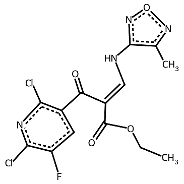 CCOC(=O)/C(=C/Nc1nonc1C)C(=O)c1cc(F)c(Cl)nc1Cl